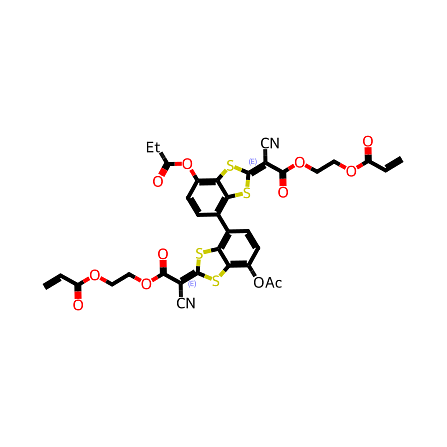 C=CC(=O)OCCOC(=O)/C(C#N)=C1/Sc2c(OC(C)=O)ccc(-c3ccc(OC(=O)CC)c4c3S/C(=C(/C#N)C(=O)OCCOC(=O)C=C)S4)c2S1